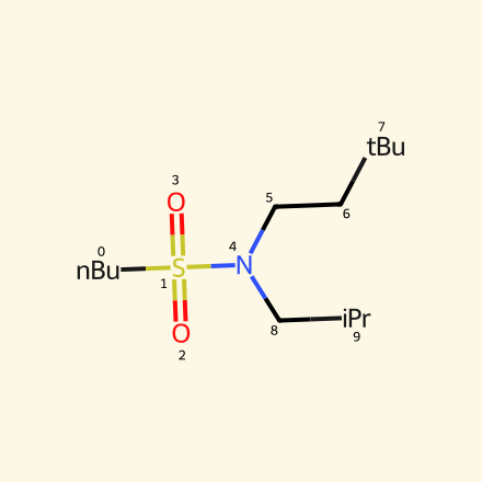 CCCCS(=O)(=O)N(CCC(C)(C)C)CC(C)C